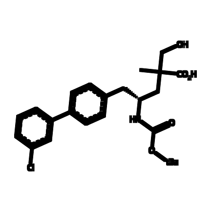 CC(C)(C)OC(=O)N[C@H](Cc1ccc(-c2cccc(Cl)c2)cc1)CC(C)(CO)C(=O)O